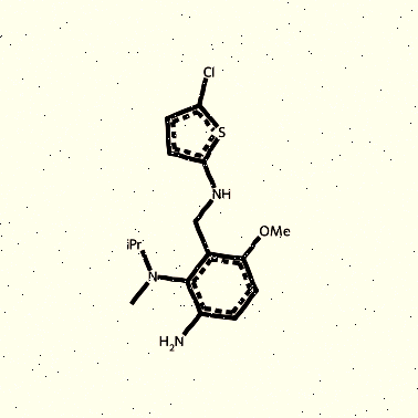 COc1ccc(N)c(N(C)C(C)C)c1CNc1ccc(Cl)s1